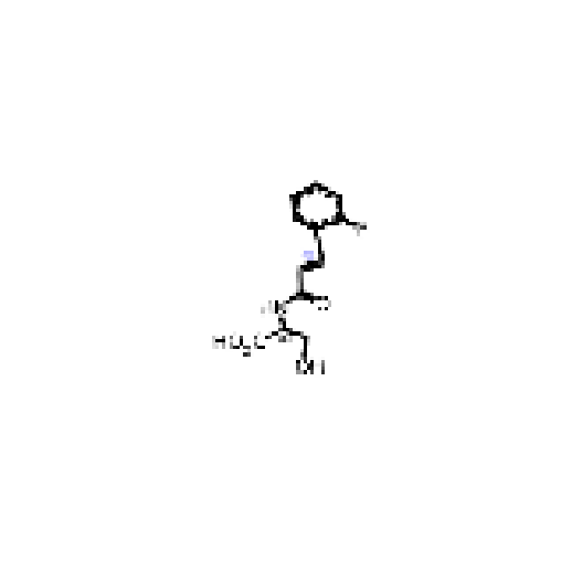 O=C(/C=C/c1ccccc1F)N[C@@H](CO)C(=O)O